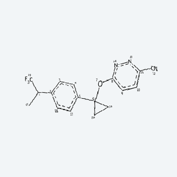 CC(c1ccc(C2(Oc3ccc(C#N)nn3)CC2)cc1)C(F)(F)F